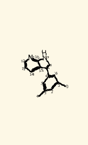 Cc1cc(C)cc(-c2c[nH]c3ncccc23)c1